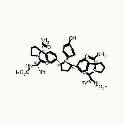 CC(C)[C@H](NC(=O)O)C(=O)N1CCC[C@@]1(C(N)=O)c1ccc([C@H]2CC[C@H](c3ccc([C@]4(C(N)=O)CCCN4C(=O)[C@@H](NC(=O)O)C(C)C)cc3)N2c2ccc(O)cc2)cc1